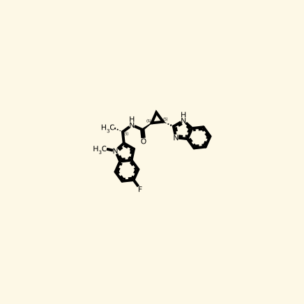 C[C@H](NC(=O)[C@H]1C[C@@H]1c1nc2ccccc2[nH]1)c1cc2cc(F)ccc2n1C